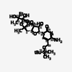 CCCC(C)(C[C@H]1O[C@@H](n2cc(CO[Si](C)(C)C(C)(C)C)c(N)nc2=O)[C@H](O)[C@@H]1O)OP(=O)(O)C(C)(O)CC